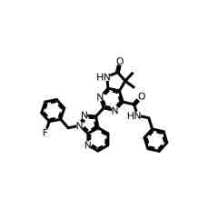 CC1(C)C(=O)Nc2nc(-c3nn(Cc4ccccc4F)c4ncccc34)nc(C(=O)NCc3ccccc3)c21